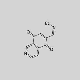 CC/N=C\C1=CC(=O)c2cnccc2C1=O